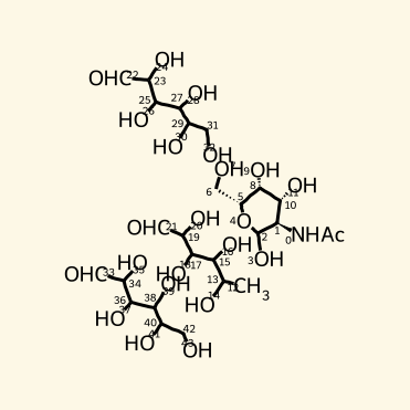 CC(=O)N[C@H]1C(O)O[C@H](CO)[C@H](O)[C@@H]1O.CC(O)C(O)C(O)C(O)C=O.O=CC(O)C(O)C(O)C(O)CO.O=CC(O)C(O)C(O)C(O)CO